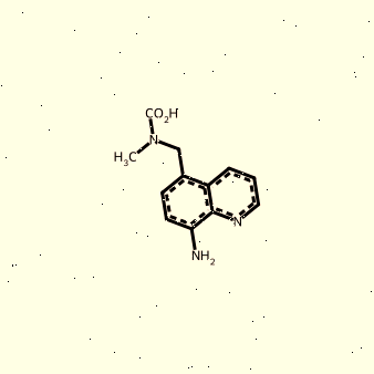 CN(Cc1ccc(N)c2ncccc12)C(=O)O